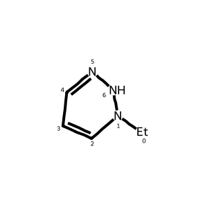 [CH2]CN1C=CC=NN1